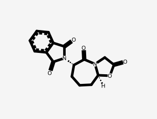 O=C1CN2C(=O)[C@@H](N3C(=O)c4ccccc4C3=O)CCC[C@@H]2O1